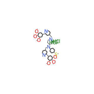 COc1cc(-c2cc(CN3CCC(N(Cc4ccnc(-c5cc(OC)c(OC)c(OC)c5)c4)c4ccc(SC)cc4)CC3)ccn2)cc(OC)c1OC.Cl.Cl.Cl